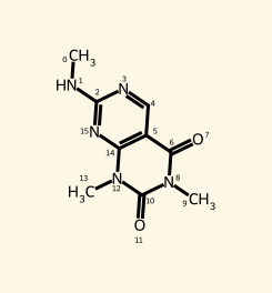 CNc1ncc2c(=O)n(C)c(=O)n(C)c2n1